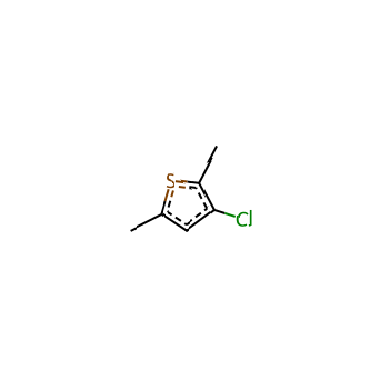 Cc1cc(Cl)c(C)s1